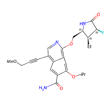 CC[C@@H]1[C@H](F)C(=O)N[C@@H]1COc1ncc(C#CCOC)c2cc(C(N)=O)c(OC(C)C)cc12